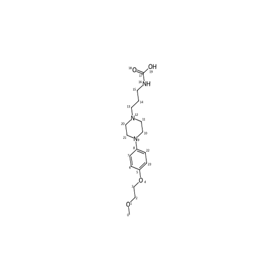 COCCOc1ccc(N2CCN(CCCNC(=O)O)CC2)cc1